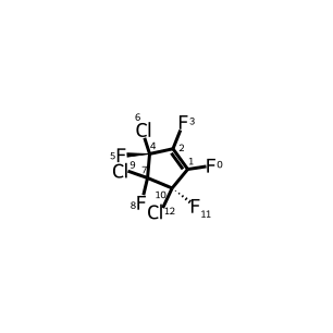 FC1=C(F)[C@@](F)(Cl)C(F)(Cl)[C@]1(F)Cl